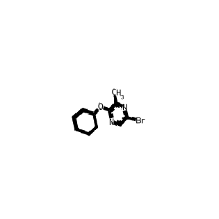 Cc1nc(Br)cnc1OC1CCCCC1